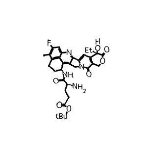 CC[C@@]1(O)C(=O)OCc2c1cc1n(c2=O)Cc2c-1nc1cc(F)c(C)c3c1c2[C@@H](NC(=O)[C@@H](N)CCC(=O)OC(C)(C)C)CC3